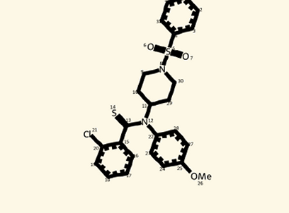 CCc1ccc(S(=O)(=O)N2CCC(N(C(=S)c3ccccc3Cl)c3ccc(OC)cc3)CC2)cc1